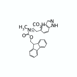 CN(C(=O)OCC1c2ccccc2-c2ccccc21)[C@@H](Cc1ccc2[nH]ncc2c1)C(=O)O